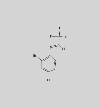 FC(F)(F)C(Cl)=Cc1ccc(Cl)cc1Br